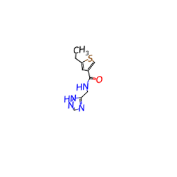 CCc1cc(C(=O)NCc2ncn[nH]2)cs1